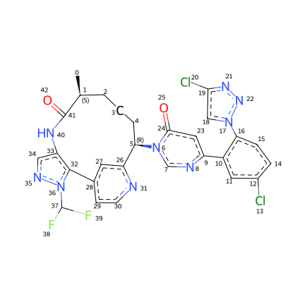 C[C@H]1CCC[C@@H](n2cnc(-c3cc(Cl)ccc3-n3cc(Cl)nn3)cc2=O)c2cc(ccn2)-c2c(cnn2C(F)F)NC1=O